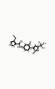 CCc1cnsc1C(=O)Nc1ccc(-c2cc(C(F)(F)F)nn2C)c(F)c1